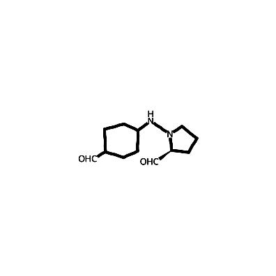 O=CC1CCC(NN2CCC[C@H]2C=O)CC1